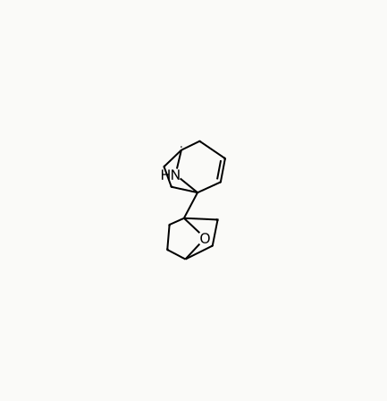 C1=CC2(C34CCC(CC3)O4)CC[C](C1)N2